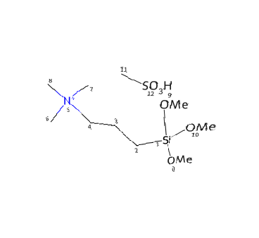 CO[Si](CCC[N+](C)(C)C)(OC)OC.CS(=O)(=O)O